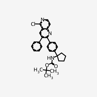 CC(C)(C)OC(=O)NC1(c2ccc(-c3nc4ccnc(Cl)c4cc3-c3ccccc3)cc2)CCCC1